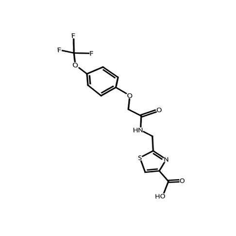 O=C(COc1ccc(OC(F)(F)F)cc1)NCc1nc(C(=O)O)cs1